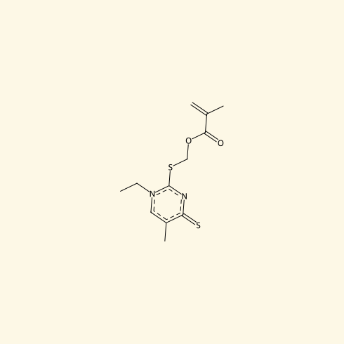 C=C(C)C(=O)OCSc1nc(=S)c(C)cn1CC